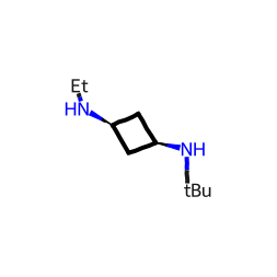 CCN[C@H]1C[C@@H](NC(C)(C)C)C1